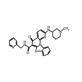 CN1CCCC(Nc2ccc3c(=O)c(C(=O)NCc4ccccn4)c4sc5ccccc5n4c3n2)C1